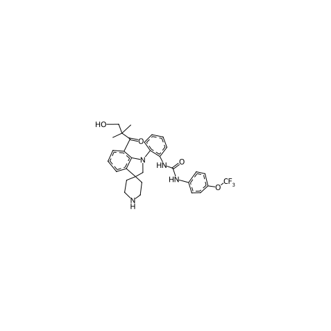 CC(C)(CO)C(=O)c1cccc2c1N(c1ccccc1NC(=O)Nc1ccc(OC(F)(F)F)cc1)CC21CCNCC1